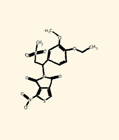 CCOc1ccc(C(CS(C)(=O)=O)N2C(=O)c3csc([N+](=O)[O-])c3C2=O)cc1OC